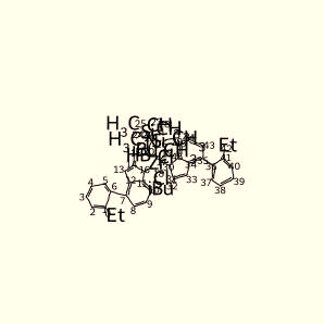 CCc1ccccc1-c1cccc2c1C=C(C(C)CC)[CH]2[Zr]([Cl])([Cl])([BH]N([Si](C)(C)C)[Si](C)(C)C)[CH]1C(C(C)CC)=Cc2c(-c3ccccc3CC)cccc21